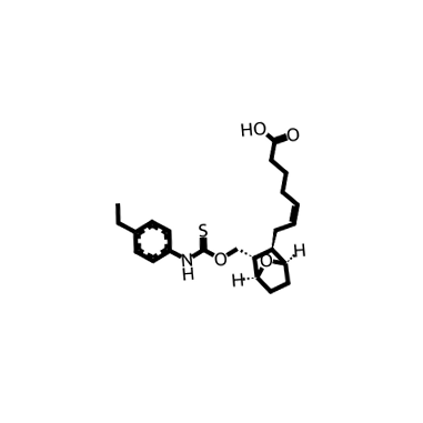 CCc1ccc(NC(=S)OC[C@@H]2[C@@H](C/C=C\CCCC(=O)O)[C@H]3CC[C@@H]2O3)cc1